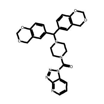 O=C(N1CCN(C(c2ccc3c(c2)COCO3)c2ccc3c(c2)COCO3)CC1)n1nnc2ncccc21